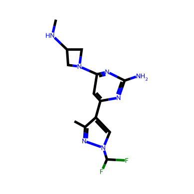 CNC1CN(c2cc(-c3cn(C(F)F)nc3C)nc(N)n2)C1